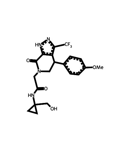 COc1ccc(C2CN(CC(=O)NC3(CO)CC3)C(=O)c3[nH]nc(C(F)(F)F)c32)cc1